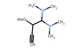 C#CC(OC)C(N(C)C)N(C)C